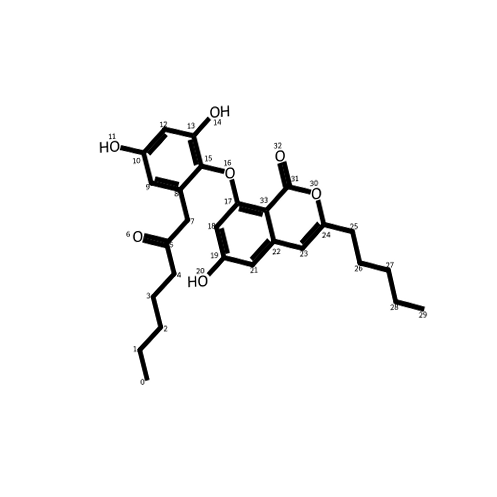 CCCCCC(=O)Cc1cc(O)cc(O)c1Oc1cc(O)cc2cc(CCCCC)oc(=O)c12